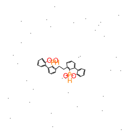 O=[PH]1Oc2ccccc2-c2cccc(CCc3cccc4c3[PH](=O)Oc3ccccc3-4)c21